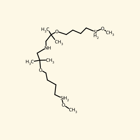 CO[SiH2]CCCCOC(C)(C)CNCC(C)(C)OCCCC[SiH2]OC